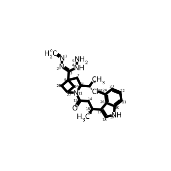 C=N/N=C(\NN)C12CC(CC)N(C(=O)CC(C)c3c[nH]c4cccc(Cl)c34)C(C1)C2